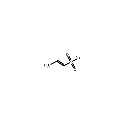 [2H]S(=O)(=O)/C=C/C